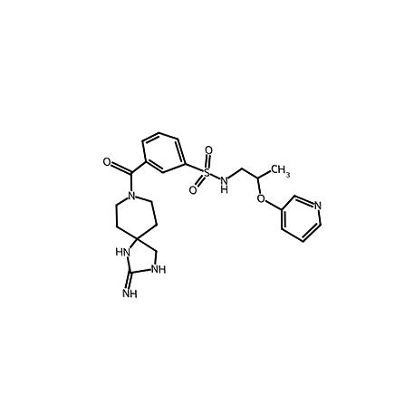 CC(CNS(=O)(=O)c1cccc(C(=O)N2CCC3(CC2)CNC(=N)N3)c1)Oc1cccnc1